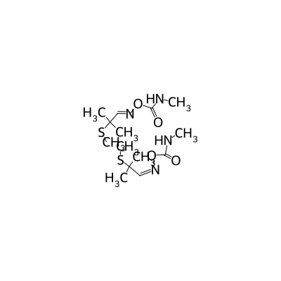 CNC(=O)O/N=C/C(C)(C)SC.CNC(=O)O/N=C\C(C)(C)SC